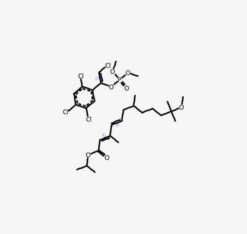 COC(C)(C)CCCC(C)C/C=C/C(C)=C/C(=O)OC(C)C.COP(=O)(OC)O/C(=C\Cl)c1cc(Cl)c(Cl)cc1Cl